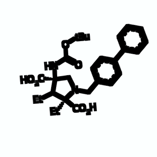 CCC1[C@](CC)(C(=O)O)N(Cc2ccc(-c3ccccc3)cc2)C[C@@]1(NC(=O)OC(C)(C)C)C(=O)O